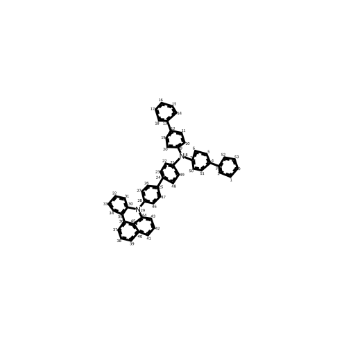 c1ccc(-c2ccc(N(c3ccc(-c4ccccc4)cc3)c3ccc(-c4ccc(N5c6ccccc6-c6cccc7cccc5c67)cc4)cc3)cc2)cc1